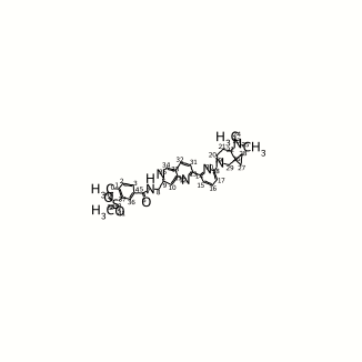 Cc1ccc(C(=O)NCc2cc3nc(-c4cccc(N5CCC(N(C)C)C6(CC6)C5)n4)ccc3cn2)cc1S(C)(=O)=O